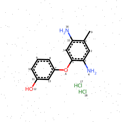 Cc1cc(N)c(Oc2cccc(O)c2)cc1N.Cl.Cl